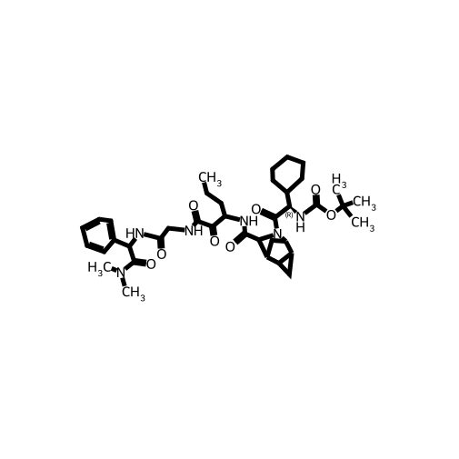 CCCC(NC(=O)C1C2CC(C3CC32)N1C(=O)[C@H](NC(=O)OC(C)(C)C)C1CCCCC1)C(=O)C(=O)NCC(=O)NC(C(=O)N(C)C)c1ccccc1